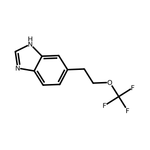 FC(F)(F)OCCc1ccc2nc[nH]c2c1